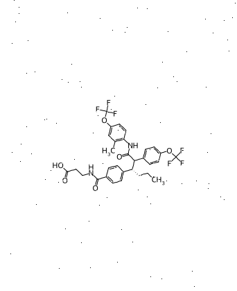 CCC[C@H](c1ccc(C(=O)NCCC(=O)O)cc1)C(C(=O)Nc1ccc(OC(F)(F)F)cc1C)c1ccc(OC(F)(F)F)cc1